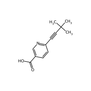 CC(C)(C)C#Cc1ccc(C(=O)O)cn1